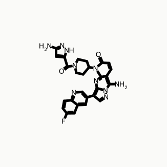 Nc1cc(C(=O)N2CCC(n3c(=O)ccc4c(N)n5ncc(-c6cnc7ccc(F)cc7c6)c5nc43)CC2)[nH]n1